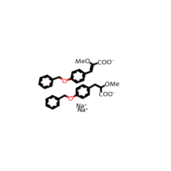 CO/C(=C\c1ccc(OCc2ccccc2)cc1)C(=O)[O-].COC(Cc1ccc(OCc2ccccc2)cc1)C(=O)[O-].[Na+].[Na+]